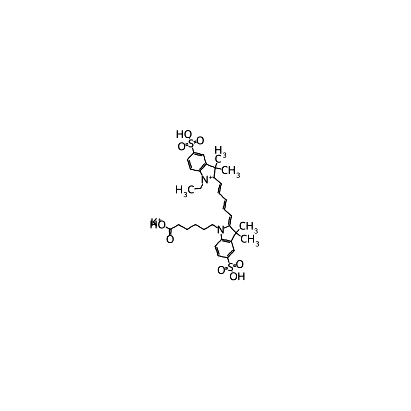 CC[N+]1=C(C=CC=CC=C2N(CCCCCC(=O)O)c3ccc(S(=O)(=O)O)cc3C2(C)C)C(C)(C)c2cc(S(=O)(=O)O)ccc21.[K+]